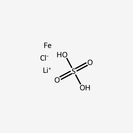 O=S(=O)(O)O.[Cl-].[Fe].[Li+]